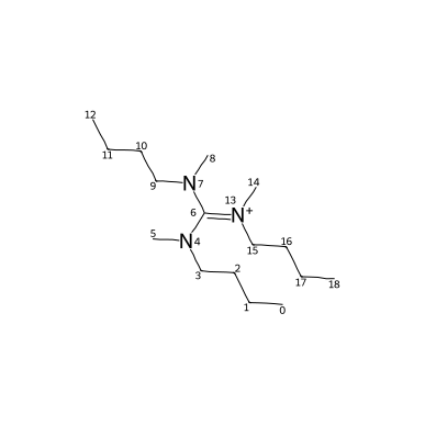 CCCCN(C)C(N(C)CCCC)=[N+](C)CCCC